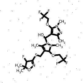 CC1=C(CSC2=NOC(C)(C)C2F)C(OCC(F)(F)F)N(C)N1C(O)c1c(C)nn(C)c1OCC(F)(F)F